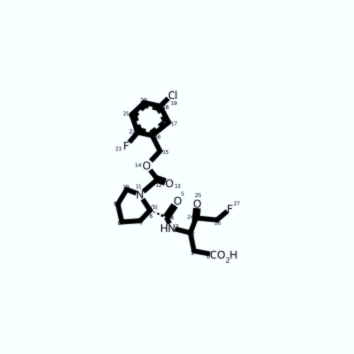 O=C(O)CC(NC(=O)[C@@H]1CCCCN1C(=O)OCc1cc(Cl)ccc1F)C(=O)CF